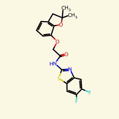 CC1(C)Cc2cccc(OCC(=O)Nc3nc4cc(F)c(F)cc4s3)c2O1